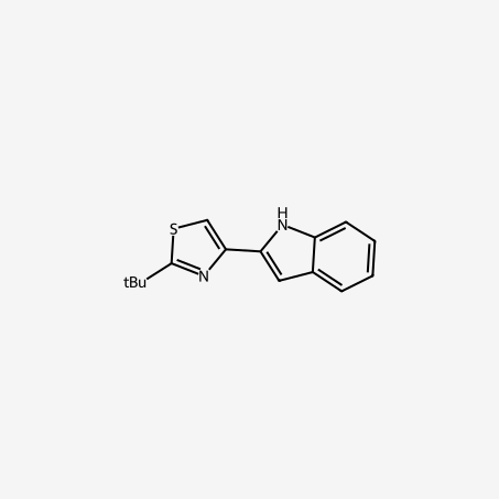 CC(C)(C)c1nc(-c2cc3ccccc3[nH]2)cs1